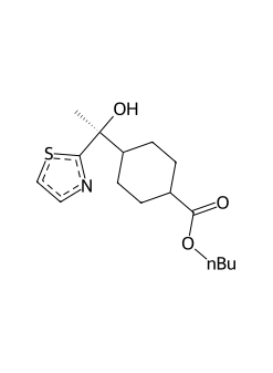 CCCCOC(=O)C1CCC([C@](C)(O)c2nccs2)CC1